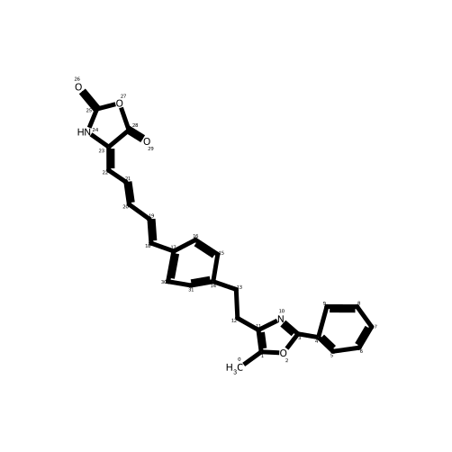 Cc1oc(-c2ccccc2)nc1CCc1ccc(C=CC=CC=C2NC(=O)OC2=O)cc1